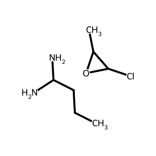 CC1OC1Cl.CCCC(N)N